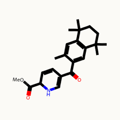 COC(=O)C1C=CC(C(=O)c2cc3c(cc2C)C(C)(C)CCC3(C)C)=CN1